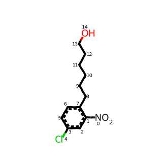 O=[N+]([O-])c1cc(Cl)ccc1CC[CH]CCCO